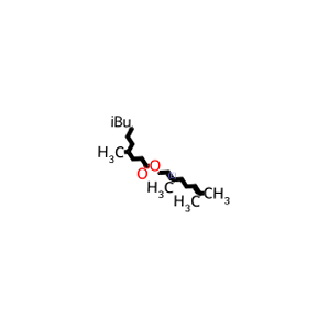 CCC(C)CCCC(C)CCC(=O)OC/C=C(\C)CCC=C(C)C